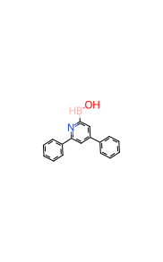 OBc1cc(-c2ccccc2)cc(-c2ccccc2)n1